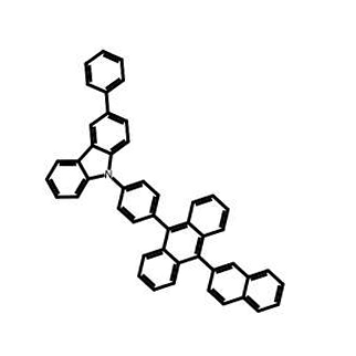 c1ccc(-c2ccc3c(c2)c2ccccc2n3-c2ccc(-c3c4ccccc4c(-c4ccc5ccccc5c4)c4ccccc34)cc2)cc1